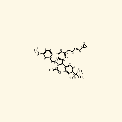 COc1cccc(Cn2c(C(=O)O)c(-c3ccc(C(C)(C)C)cc3)c3cc(CCOCC4CC4)ccc32)c1